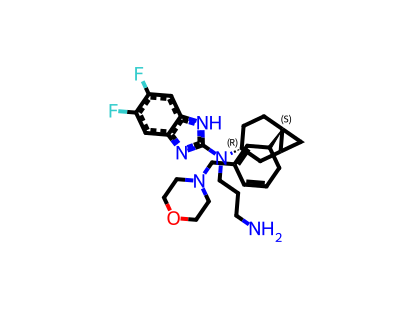 NCCCN(c1nc2cc(F)c(F)cc2[nH]1)[C@@H]1CC[C@]2(C3C=C(CN4CCOCC4)C=CC3)CC2C1